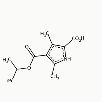 Cc1[nH]c(C(=O)O)c(C)c1C(=O)OC(C)C(C)C